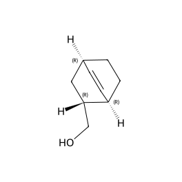 OC[C@@H]1C[C@@H]2C=C[C@H]1CC2